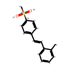 Cc1ccccc1/C=C/c1ccc(S(C)(=O)=O)cc1